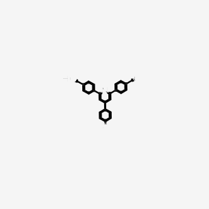 C#Cc1ccc(-c2cc(-c3ccc(C(F)(F)F)cc3)cc(-c3ccc(C#C)cc3)n2)cc1